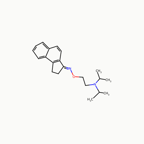 CC(C)N(CCON=C1CCc2c1ccc1ccccc21)C(C)C